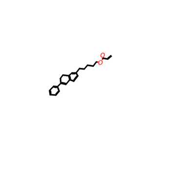 C=CC(=O)OCCCCCc1ccc2c(c1)CCC(c1ccccc1)=C2